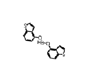 B(Oc1cccc2sccc12)Oc1cccc2sccc12